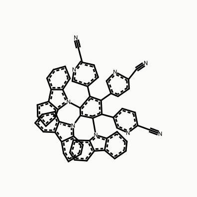 N#Cc1ccc(-c2c(-c3ccc(C#N)nc3)c(-n3c4ccccc4c4ccccc43)c(-n3c4ccccc4c4ccccc43)c(-n3c4ccccc4c4ccccc43)c2-c2ccc(C#N)nc2)cn1